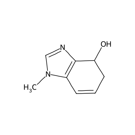 Cn1cnc2c1C=CCC2O